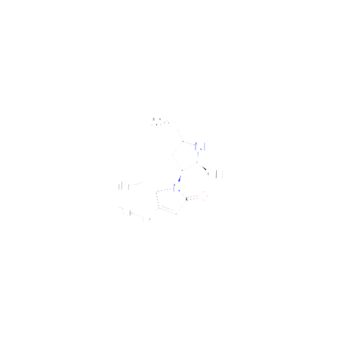 CSC1C[C@H](N2C(=O)C=C(OC(C)(C)C)[C@@H]2CC(C)C)[C@H](C)N1